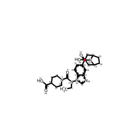 CCN(C(=O)N1CCC(C(=O)O)CC1)n1cnc2cc(C(=O)N3C4CCC3CC(O)C4)ccc21